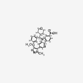 COc1nnn(C)c1-c1cnc2c3ccc(C(=O)O)cc3n(C(c3ccccc3)C3CCOCC3)c2c1